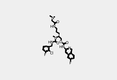 CN(C)CC(=O)NCCC[C@@H](COC(=O)Nc1cc2cc(F)ccc2cn1)N(C)C(=O)NCc1cccc(F)c1Cl